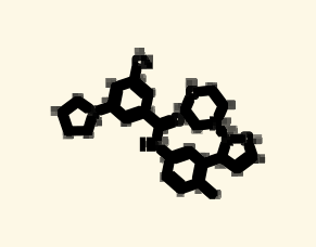 Cc1ccc(NC(=O)c2cc(C#N)cc(N3CCCC3)c2)cc1C1C=CON1N1CCOCC1